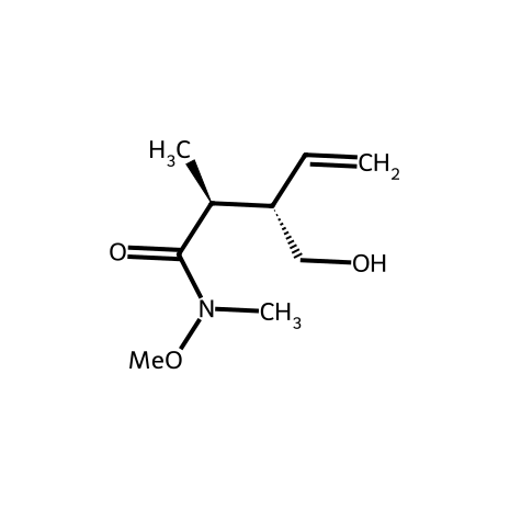 C=C[C@H](CO)[C@H](C)C(=O)N(C)OC